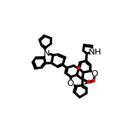 C1=CCCC(N2c3ccccc3C3C=C(C4=CC5OC6=CCCC=C6C6(C7C=CC=CC7OC7C=C(C8CC=CN8)C=CC76)C5CC4)C=CC32)=C1